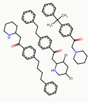 CC(C)(c1ccccc1)c1ccc(C(=O)CN2CCCCC2)cc1.CCC1CNC(CC(=O)c2ccc(CCc3ccccc3)cc2)C(CC)C1.O=C(CC1CCCCN1)c1ccc(CCCCc2ccccc2)cc1